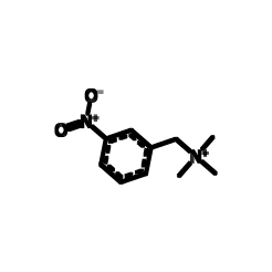 C[N+](C)(C)Cc1cccc([N+](=O)[O-])c1